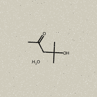 CC(=O)CC(C)(C)O.O